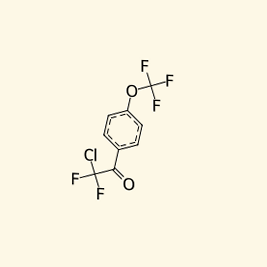 O=C(c1ccc(OC(F)(F)F)cc1)C(F)(F)Cl